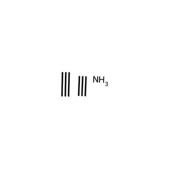 C#C.C#C.N